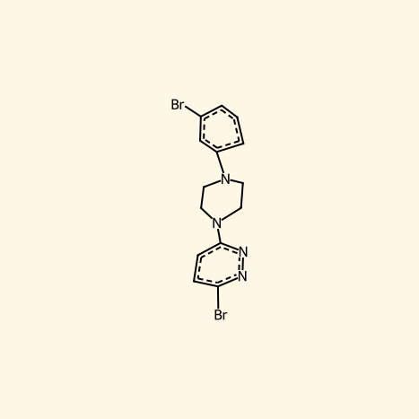 Brc1cccc(N2CCN(c3ccc(Br)nn3)CC2)c1